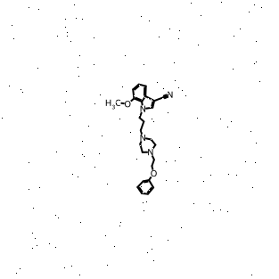 COc1cccc2c(C#N)cn(CCCN3CCN(CCOc4ccccc4)CC3)c12